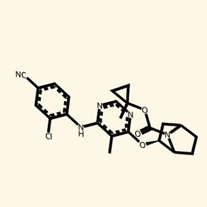 Cc1c(Nc2ccc(C#N)cc2Cl)ncnc1O[C@H]1CC2CCC1N2C(=O)OC1(C)CC1